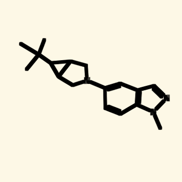 Cn1ncc2cc(N3CC4C(C3)C4C(C)(C)C)ccc21